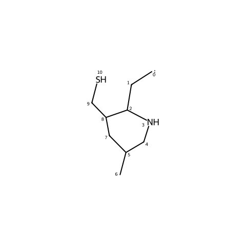 [CH]CC1NCC(C)CC1CS